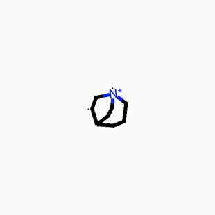 [CH]1C[N+]2CCCC1CC2